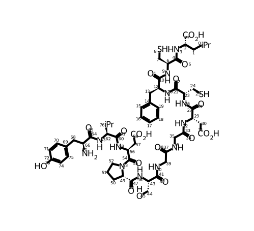 CC(C)C[C@H](NC(=O)[C@H](CS)NC(=O)[C@H](Cc1ccccc1)NC(=O)[C@H](CS)NC(=O)[C@H](CC(=O)O)NC(=O)CNC(=O)CNC(=O)[C@H](CO)NC(=O)[C@@H]1CCCN1C(=O)[C@H](CC(=O)O)NC(=O)[C@@H](NC(=O)[C@@H](N)Cc1ccc(O)cc1)C(C)C)C(=O)O